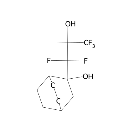 CC(O)(C(F)(F)F)C(F)(F)C1(O)CC2CCC1CC2